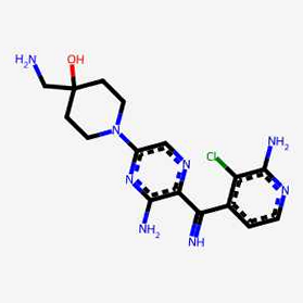 N=C(c1ccnc(N)c1Cl)c1ncc(N2CCC(O)(CN)CC2)nc1N